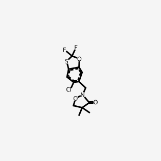 CC1(C)CON(Cc2cc3c(cc2Cl)SC(F)(F)O3)C1=O